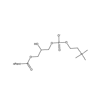 CCCCCC(=O)OCC(O)COP(=O)([O-])OCC[N+](C)(C)C